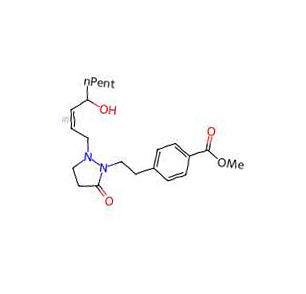 CCCCCC(O)/C=C\CN1CCC(=O)N1CCc1ccc(C(=O)OC)cc1